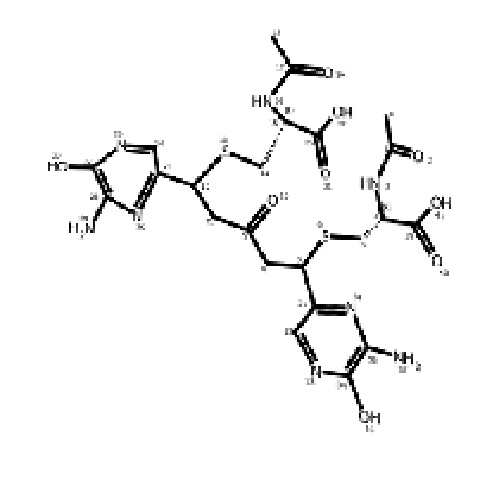 CC(=O)N[C@@H](CSC(CC(=O)CC(SC[C@H](NC(C)=O)C(=O)O)c1cnc(O)c(N)n1)c1cnc(O)c(N)n1)C(=O)O